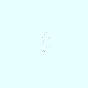 Cc1cn(C)c(C2(O)CCC2)n1